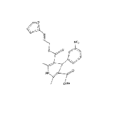 COC(=O)C1=C(C)NC(C)=C(C(=O)OC/C=C/c2ccco2)C1c1cccc([N+](=O)[O-])c1